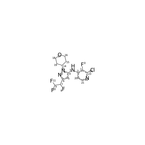 Fc1c(Nc2cc(C(F)C(F)F)nn2C2CCOCC2)ccnc1Cl